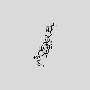 COC[C@@]1(O)CC[C@H]2[C@H](CC[C@@H]3[C@@H]2CC[C@]2(C)C(C(=O)Cn4nnc(C)n4)CC[C@@H]32)C1